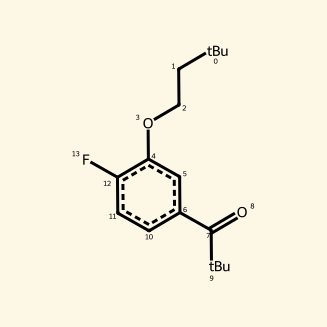 CC(C)(C)CCOc1cc(C(=O)C(C)(C)C)ccc1F